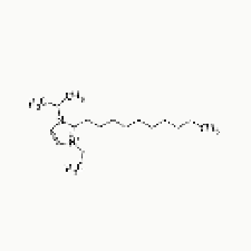 CCCCCCCCCCc1n(C(C)C)cc[n+]1CC